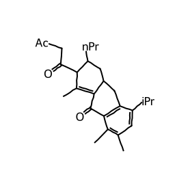 CCCC1CC2Cc3c(C(C)C)cc(C)c(C)c3C(=O)C2=C(C)C1C(=O)CC(C)=O